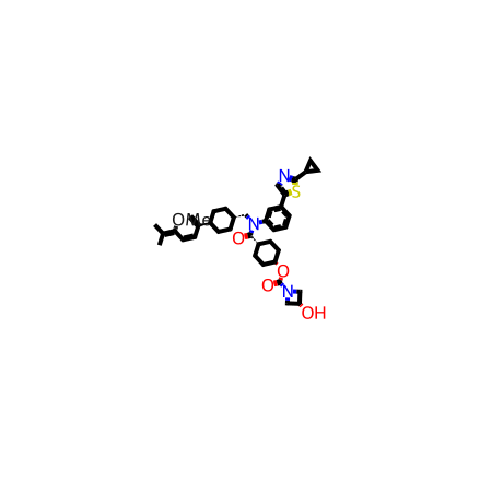 C=C(/C=C\C(OC)=C(C)C)[C@H]1CC[C@H](CN(c2cccc(-c3cnc(C4CC4)s3)c2)C(=O)[C@H]2CC[C@H](OC(=O)N3CC(O)C3)CC2)CC1